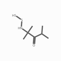 CC(C)C(=O)C(C)(C)NSS